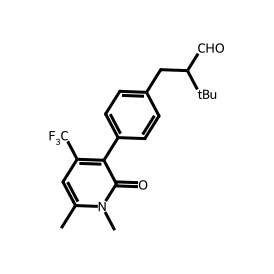 Cc1cc(C(F)(F)F)c(-c2ccc(CC(C=O)C(C)(C)C)cc2)c(=O)n1C